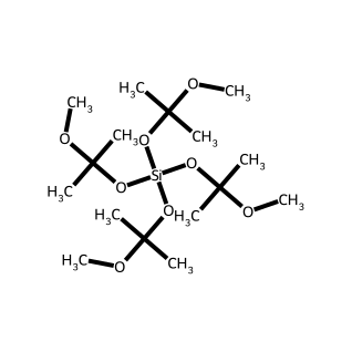 COC(C)(C)O[Si](OC(C)(C)OC)(OC(C)(C)OC)OC(C)(C)OC